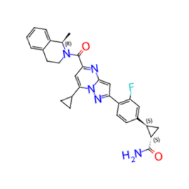 C[C@@H]1c2ccccc2CCN1C(=O)c1cc(C2CC2)n2nc(-c3ccc([C@H]4C[C@@H]4C(N)=O)cc3F)cc2n1